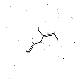 C/C(=C/I)SN=N